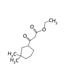 CCOC(=O)CC(=O)C1CCCC(C)(C)C1